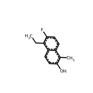 CCc1c(F)ccc2c(C)c(O)ccc12